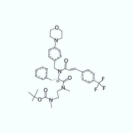 CN(CCN(C)C(=O)[C@H](Cc1ccccc1)N(Cc1ccc(N2CCOCC2)cc1)C(=O)C=Cc1ccc(C(F)(F)F)cc1)C(=O)OC(C)(C)C